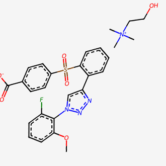 COc1cccc(F)c1-n1cc(-c2ccccc2S(=O)(=O)c2ccc(C(=O)[O-])cc2)nn1.C[N+](C)(C)CCO